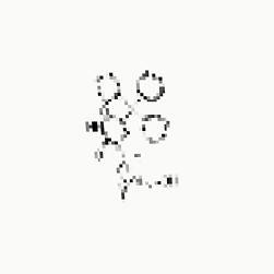 O=c1[nH]c(=O)n([C@H]2C[C@H](I)[C@@H](CO)O2)cc1C(c1ccccc1)(c1ccccc1)c1ccccc1